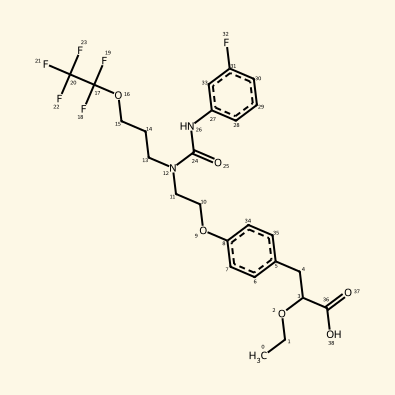 CCOC(Cc1ccc(OCCN(CCCOC(F)(F)C(F)(F)F)C(=O)Nc2cccc(F)c2)cc1)C(=O)O